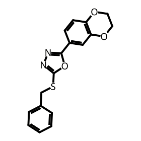 c1ccc(CSc2nnc(-c3ccc4c(c3)OCCO4)o2)cc1